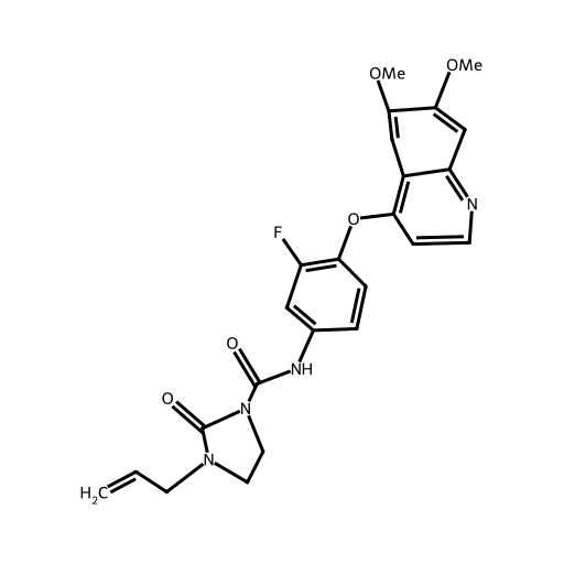 C=CCN1CCN(C(=O)Nc2ccc(Oc3ccnc4cc(OC)c(OC)cc34)c(F)c2)C1=O